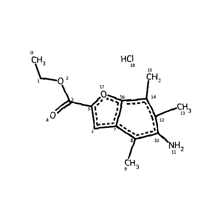 CCOC(=O)c1cc2c(C)c(N)c(C)c(C)c2o1.Cl